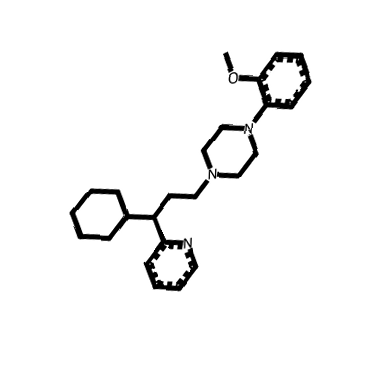 COc1ccccc1N1CCN(CCC(c2ccccn2)C2CCCCC2)CC1